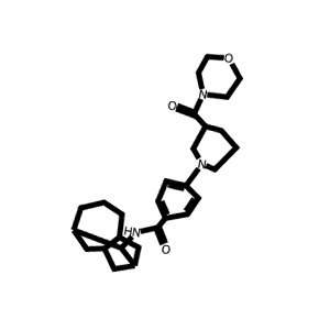 O=C(NC1C2CCCC3CC1CC3C2)c1ccc(N2CCCC(C(=O)N3CCOCC3)C2)cc1